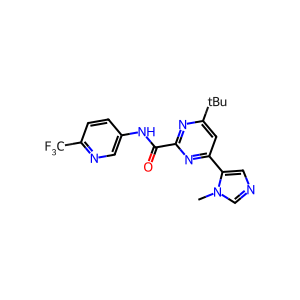 Cn1cncc1-c1cc(C(C)(C)C)nc(C(=O)Nc2ccc(C(F)(F)F)nc2)n1